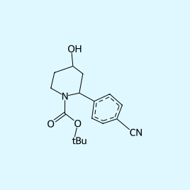 CC(C)(C)OC(=O)N1CCC(O)CC1c1ccc(C#N)cc1